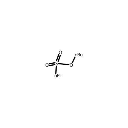 CCCCOS(=O)(=O)CCC